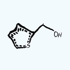 O[CH]c1cccs1